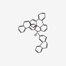 O=P(c1ccc2ccc3ccccc3c2c1)(c1ccc2ccc3ccccc3c2c1)c1cccc2c3ccccc3c3ccccc3c12